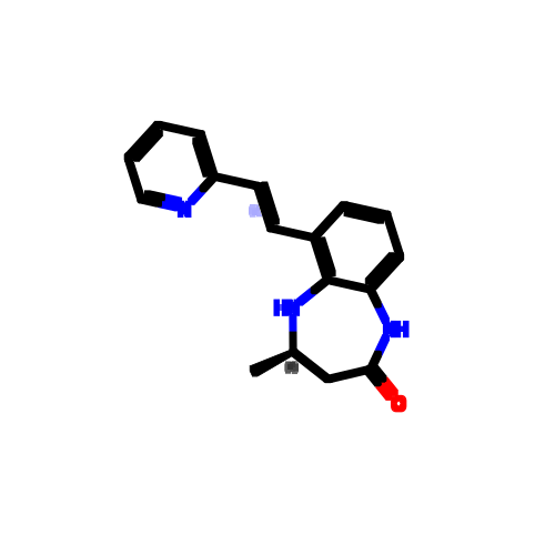 C[C@@H]1CC(=O)Nc2cccc(/C=C/c3ccccn3)c2N1